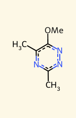 COc1nnc(C)nc1C